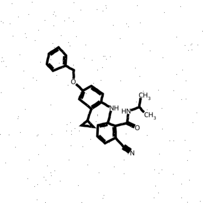 CC(C)NC(=O)c1c(C#N)cccc1Nc1ccc(OCc2ccccc2)cc1C1CC1